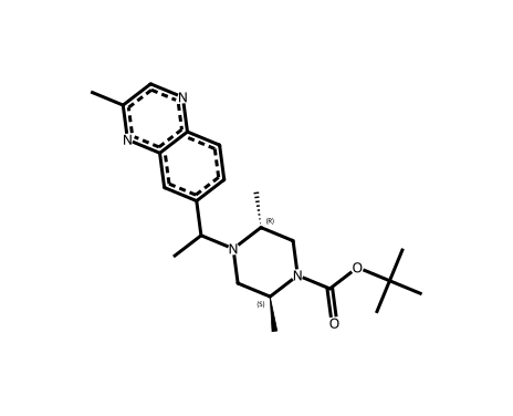 Cc1cnc2ccc(C(C)N3C[C@H](C)N(C(=O)OC(C)(C)C)C[C@H]3C)cc2n1